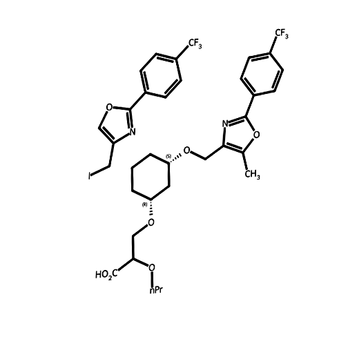 CCCOC(CO[C@@H]1CCC[C@H](OCc2nc(-c3ccc(C(F)(F)F)cc3)oc2C)C1)C(=O)O.FC(F)(F)c1ccc(-c2nc(CI)co2)cc1